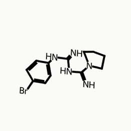 N=C(NC(=N)N1CCCC1)Nc1ccc(Br)cc1